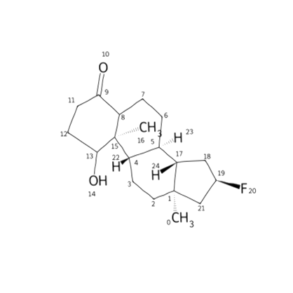 C[C@]12CC[C@H]3[C@@H](CCC4C(=O)CCC(O)[C@@]43C)[C@@H]1C[C@@H](F)C2